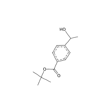 CC(O)c1ccc(C(=O)OC(C)(C)C)cc1